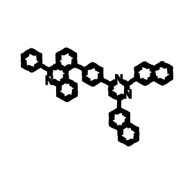 c1ccc(-c2nc3ccccc3c3c(-c4ccc(-c5cc(-c6ccc7ccccc7c6)nc(-c6ccc7ccccc7c6)n5)cc4)cccc23)cc1